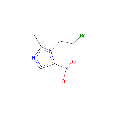 Cc1ncc([N+](=O)[O-])n1CCBr